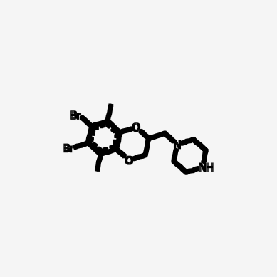 Cc1c(Br)c(Br)c(C)c2c1OCC(CN1CCNCC1)O2